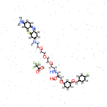 CN(CCOCCOCCOCCNC[C@@H](O)COc1cccc(OCc2ccc(F)cc2)c1)c1ccc2nc3ccc(=[N+](C)C)cc-3sc2c1.O=C([O-])C(F)(F)F